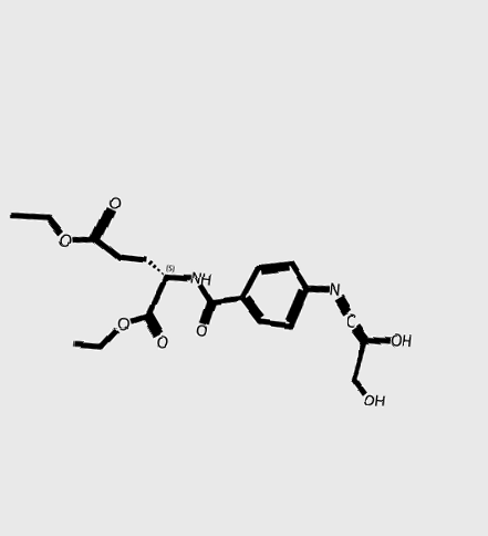 CCOC(=O)CC[C@H](NC(=O)c1ccc(N=C=C(O)CO)cc1)C(=O)OCC